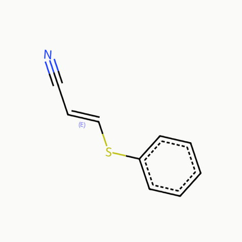 N#C/C=C/Sc1ccccc1